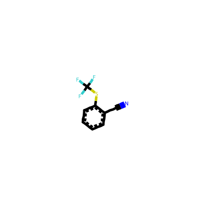 N#Cc1ccccc1SC(F)(F)F